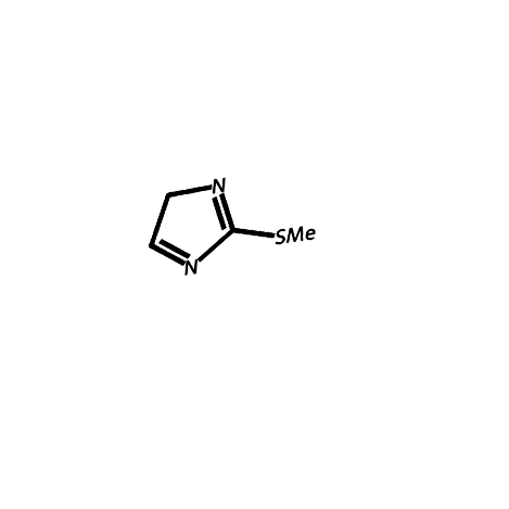 CSC1=NCC=N1